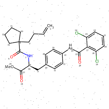 C=CCCC1(C(=O)N[C@@H](Cc2ccc([AsH]C(=O)c3c(Cl)cccc3Cl)cc2)C(=O)OC)CCCC1